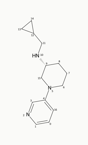 c1cncc(N2CCC[C@@H](NCC3CC3)C2)c1